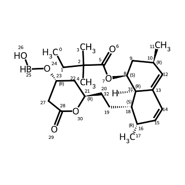 CCC(C)(C)C(=O)O[C@H]1C[C@@H](C)C=C2C=C[C@H](C)[C@H](CC[C@@H]3C[C@@H](OBO)CC(=O)O3)[C@H]21